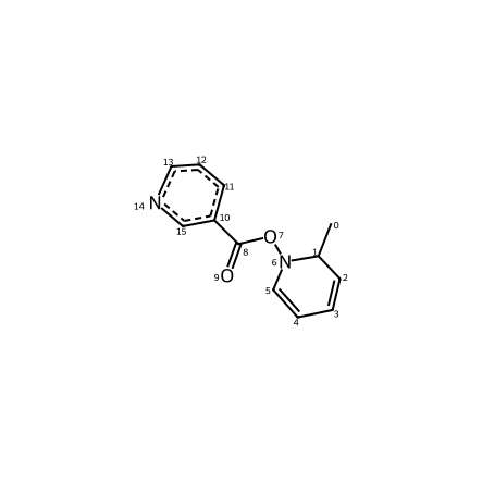 CC1C=CC=CN1OC(=O)c1cccnc1